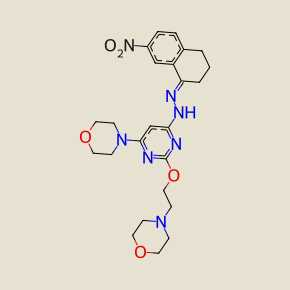 O=[N+]([O-])c1ccc2c(c1)C(=NNc1cc(N3CCOCC3)nc(OCCN3CCOCC3)n1)CCC2